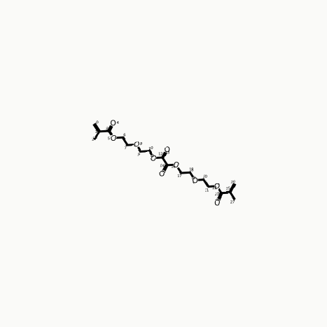 C=C(C)C(=O)OCCOCCOC(=O)C(=O)OCCOCCOC(=O)C(=C)C